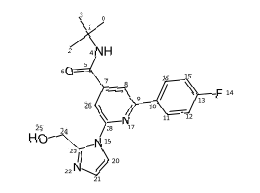 CC(C)(C)NC(=O)c1cc(-c2ccc(F)cc2)nc(-n2ccnc2CO)c1